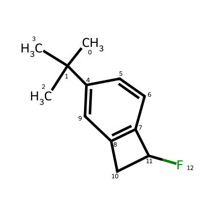 CC(C)(C)c1ccc2c(c1)CC2F